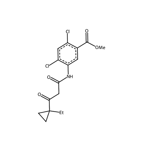 CCC1(C(=O)CC(=O)Nc2cc(C(=O)OC)c(Cl)cc2Cl)CC1